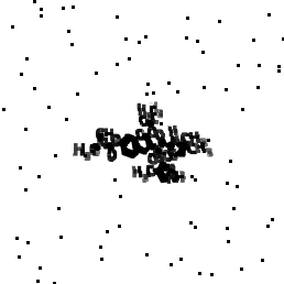 Cc1c[nH]nc1S(=O)(=O)N(C(=O)[C@H]1NC(C)(C)CS1)[C@@H](Cc1ccc(OC(=O)N(C)C)cc1)C(=O)OC(C)C